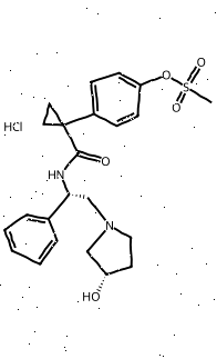 CS(=O)(=O)Oc1ccc(C2(C(=O)N[C@H](CN3CC[C@H](O)C3)c3ccccc3)CC2)cc1.Cl